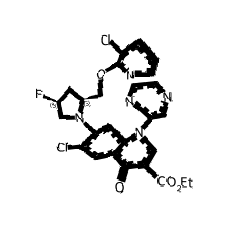 CCOC(=O)c1cn(-c2cnccn2)c2cc(N3C[C@@H](F)C[C@H]3COc3ncccc3Cl)c(Cl)cc2c1=O